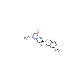 Cc1cc2nc(C(F)(F)F)cc(=O)n2nc1N1CCc2ncc(C(F)(F)F)cc2C1